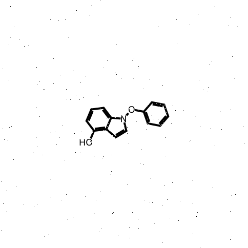 Oc1cccc2c1ccn2Oc1ccccc1